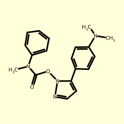 CN(C)c1ccc(-c2ccnn2OC(=O)N(C)c2ccccc2)cc1